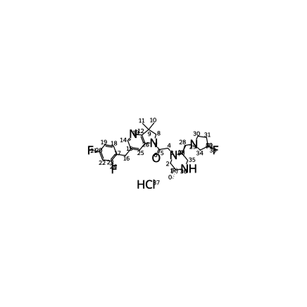 C[C@@H]1CN(CC(=O)N2CC(C)(C)c3ncc(Cc4ccc(F)cc4F)cc32)[C@@H](CN2CC[C@@H](F)C2)CN1.Cl